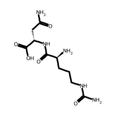 NC(=O)C[C@H](NC(=O)[C@@H](N)CCCNC(N)=O)C(=O)O